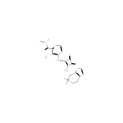 CN(C)C(=O)c1nccc(Nc2c(N[C@@H]3c4occc4CCC3(C)C)c(=O)c2=O)c1O